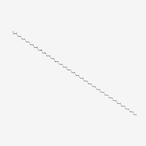 CCCCCCCCCCCCCCCCCCCCCCCCCCCCCCCCCCCCCCCCCCCCCCCCCCCCCCCCCCCCO